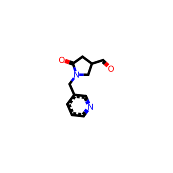 O=CC1CC(=O)N(Cc2cccnc2)C1